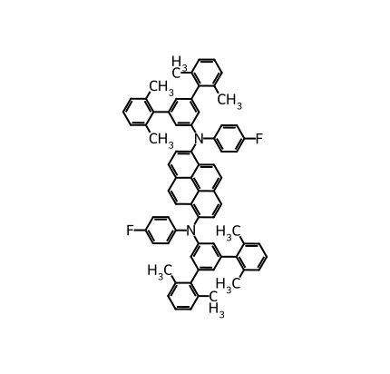 Cc1cccc(C)c1-c1cc(-c2c(C)cccc2C)cc(N(c2ccc(F)cc2)c2ccc3ccc4c(N(c5ccc(F)cc5)c5cc(-c6c(C)cccc6C)cc(-c6c(C)cccc6C)c5)ccc5ccc2c3c54)c1